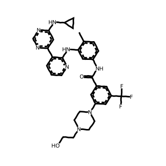 Cc1ccc(NC(=O)c2cc(N3CCN(CCO)CC3)cc(C(F)(F)F)c2)cc1Nc1ncccc1-c1cc(NC2CC2)ncn1